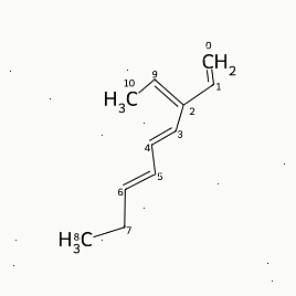 C=CC(C=CC=CCC)=CC